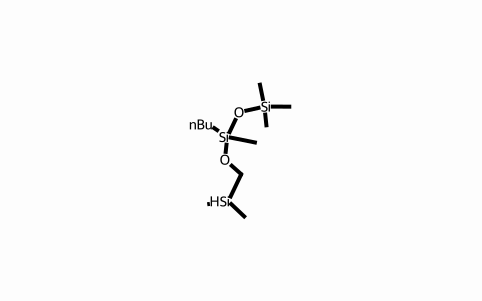 CCCC[Si](C)(OC[SiH](C)C)O[Si](C)(C)C